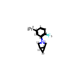 CC(C)c1ccc(F)c(N2CC3CC3C2)c1